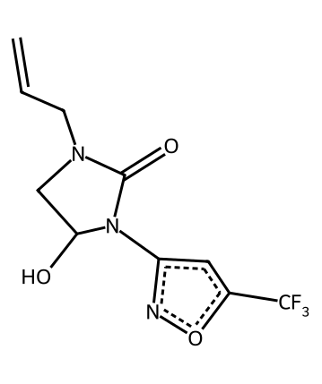 C=CCN1CC(O)N(c2cc(C(F)(F)F)on2)C1=O